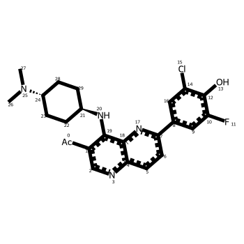 CC(=O)c1cnc2ccc(-c3cc(F)c(O)c(Cl)c3)nc2c1N[C@H]1CC[C@H](N(C)C)CC1